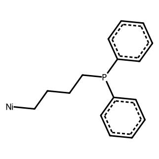 [Ni][CH2]CCCP(c1ccccc1)c1ccccc1